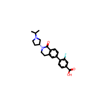 CC(C)N1CC[C@@H](N2CCc3cc(-c4ccc(C(=O)O)cc4F)ccc3C2=O)C1